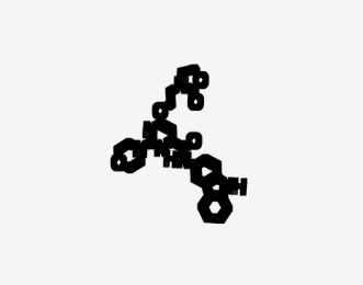 O=C(Nc1ccc2[nH]c3c(c2c1)CCCC3)c1cc(OCCN2CCOC2=O)nc(N2CCOCC2)n1